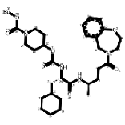 C[C@H](CCC(=O)N1CCOc2ccccc2C1)NC(=O)[C@H](CC1CCCCC1)NC(=O)OC1CCN(C(=O)OC(C)(C)C)CC1